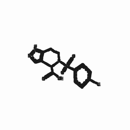 O=C(O)C1c2cn[nH]c2CCN1S(=O)(=O)c1ccc(Cl)cc1